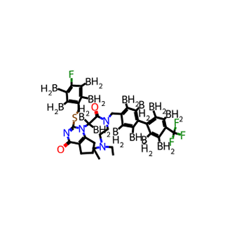 Bc1c(B)c(CSc2nc(=O)c3c(n2C(B)(B)C(=O)N(CCN(CC)CC)Cc2c(B)c(B)c(-c4c(B)c(B)c(C(F)(F)F)c(B)c4B)c(B)c2B)CCC3)c(B)c(B)c1F